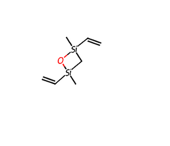 C=C[Si]1(C)C[Si](C)(C=C)O1